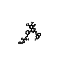 CC(C)(C)OC(=O)NCCC1CCCN(c2nc(OC[C@@]34CCCN3C[C@H](F)C4)nc3c(F)c(Br)c(Cl)cc23)C1